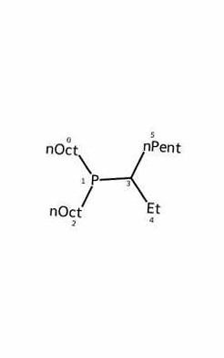 CCCCCCCCP(CCCCCCCC)C(CC)CCCCC